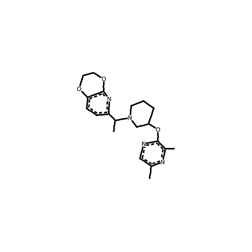 Cc1cnc(OC2CCCN(C(C)c3ccc4c(n3)OCCO4)C2)c(C)n1